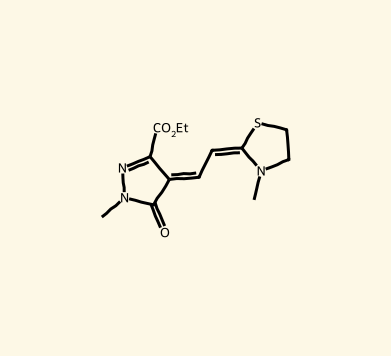 CCOC(=O)C1=NN(C)C(=O)/C1=C/C=C1/SCCN1C